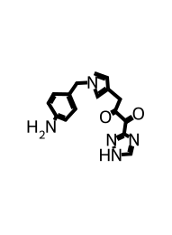 Nc1ccc(Cn2ccc(CC(=O)C(=O)c3nc[nH]n3)c2)cc1